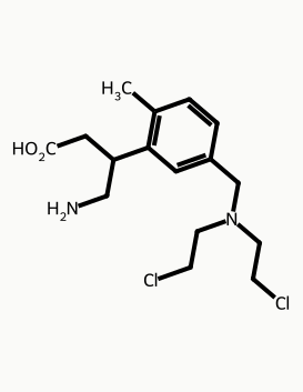 Cc1ccc(CN(CCCl)CCCl)cc1C(CN)CC(=O)O